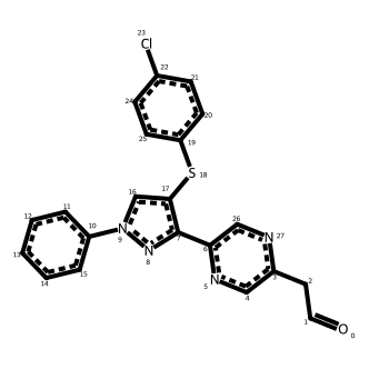 O=CCc1cnc(-c2nn(-c3ccccc3)cc2Sc2ccc(Cl)cc2)cn1